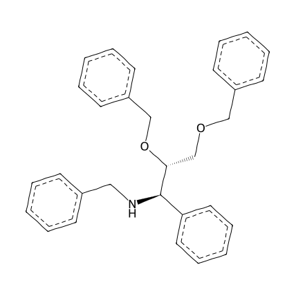 c1ccc(CN[C@H](c2ccccc2)[C@@H](COCc2ccccc2)OCc2ccccc2)cc1